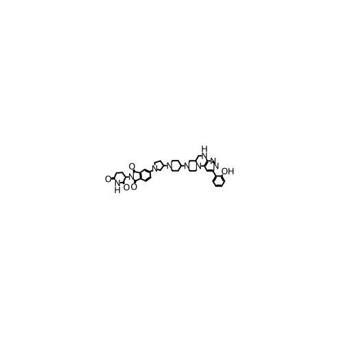 O=C1CCC(N2C(=O)c3ccc(N4CCC(N5CCC(N6CCN7c8cc(-c9ccccc9O)nnc8NCC7C6)CC5)C4)cc3C2=O)C(=O)N1